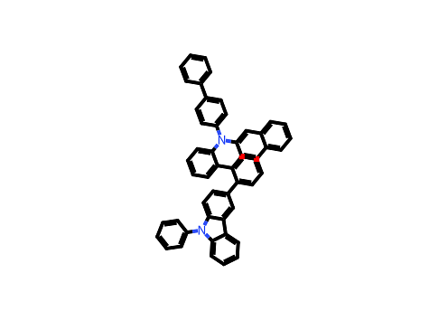 c1ccc(-c2ccc(N(c3ccc4ccccc4c3)c3ccccc3-c3ccccc3-c3ccc4c(c3)c3ccccc3n4-c3ccccc3)cc2)cc1